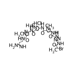 C=C(Br)C(=O)Nc1n[nH]c(C(=O)Nc2cc(C(=O)Nc3cc(C(=O)Nc4cc(C(=O)NCCC(=N)N)n(C)n4)n(C)c3)n(C)c2)n1.Cl